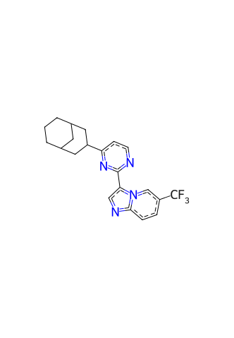 FC(F)(F)c1ccc2ncc(-c3nccc(C4CC5CCCC(C5)C4)n3)n2c1